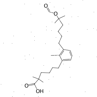 Cc1c(CCCCC(C)(C)OC=O)cccc1CCCCC(C)(C)C(=O)O